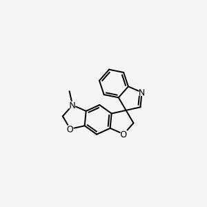 CN1COc2cc3c(cc21)C1(C=Nc2ccccc21)CO3